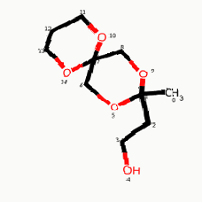 CC1(CCO)OCC2(CO1)OCCCO2